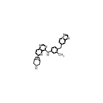 Cc1cc(Nc2ncnc3ccc(N4C5CCC4CNC5)nc23)ccc1Cc1ccn2ncnc2c1